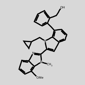 COc1c[c]cc2nc(-c3cc4cccc(-c5ccccc5CO)c4n3CC3CC3)n(C)c12